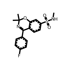 CNS(=O)(=O)c1ccc2c(c1)OC(C)(C)N=C2c1ccc(F)cc1